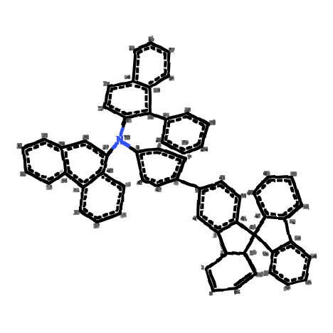 C1=CC2c3cc(-c4ccc(N(c5ccc6ccccc6c5-c5ccccc5)c5cc6ccccc6c6ccccc56)cc4)ccc3C3(c4ccccc4-c4ccccc43)C2C=C1